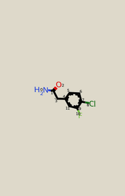 NC(=O)[CH]c1ccc(Cl)c(F)c1